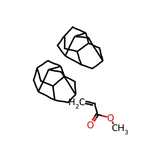 C1C2CC3C4CC5CC(C14)C(C2)C3C5.C1C2CC3C4CC5CC(C14)C(C2)C3C5.C=CC(=O)OC